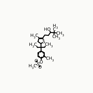 CCC(CC)(c1ccc(OS(C)(=O)=O)c(C)c1)C1CC(C)=C(CCC(O)C(C)(C)C)S1